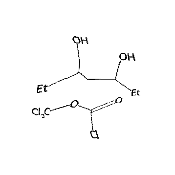 CCC(O)CC(O)CC.O=C(Cl)OC(Cl)(Cl)Cl